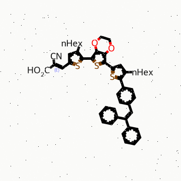 CCCCCCc1cc(-c2sc(-c3sc(/C=C(\C#N)C(=O)O)cc3CCCCCC)c3c2OCCO3)sc1-c1ccc(C=C(c2ccccc2)c2ccccc2)cc1